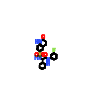 O=C1CCc2cc(S(=O)(=O)NC(C(=O)Nc3cccc(F)c3)c3ccccc3)ccc2N1